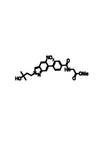 COC(=O)CNC(=O)c1ccc(-c2cc3nn(CCC(C)(C)O)cc3cc2[N+](=O)[O-])cc1